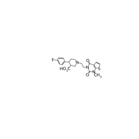 Cn1c(=O)n(CCN2CCC(c3ccc(F)cc3)C(C(=O)O)C2)c(=O)c2ccsc21